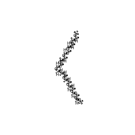 C[SiH](O[SiH](C)O[SiH](C)O[SiH](C)O[SiH](C)O[SiH](C)O[SiH](C)O[SiH](C)O[SiH](C)O[SiH](C)O[SiH](C)O[Si](C)(C)C)O[SiH](C)O[SiH](C)O[SiH](C)O[SiH](C)O[SiH](C)O[SiH](C)O[SiH](C)O[SiH](C)O[SiH](C)O[Si](C)(C)C